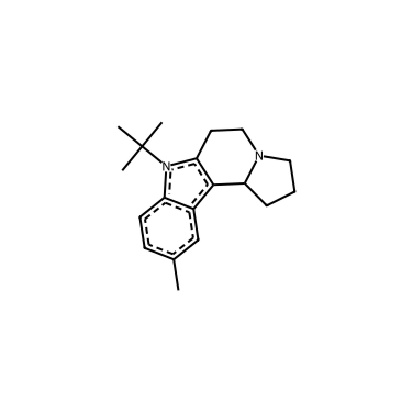 Cc1ccc2c(c1)c1c(n2C(C)(C)C)CCN2CCCC12